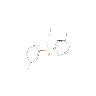 CCOP(=O)(c1cccc(C)c1)c1cccc(C)c1